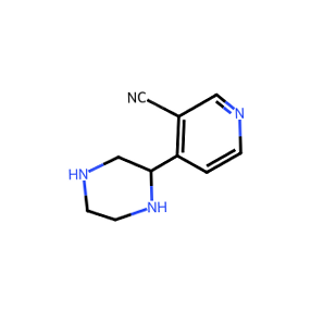 N#Cc1cnccc1C1CNCCN1